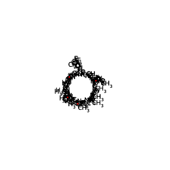 CC[C@H](C)[C@@H]1NC(=O)[C@H](CC(C)C)N(C)C(=O)C[C@@H](C(=O)N2CCCCC2)N(C)C(=O)[C@H](C(C)C)N(C)C(=O)C2(CCCC2)NC(=O)[C@@H]2CCCN2C(=O)[C@H](CCc2ccc(C(F)(F)F)c(Cl)c2)NC(=O)CN(C)C(=O)[C@H](Cc2ccc(OC)cc2)N(C)C(=O)CN(C)C(=O)CN(C)C1=O